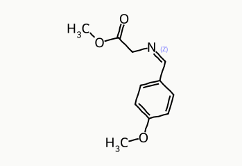 COC(=O)C/N=C\c1ccc(OC)cc1